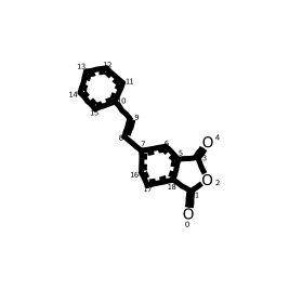 O=C1OC(=O)c2cc(C=Cc3ccccc3)ccc21